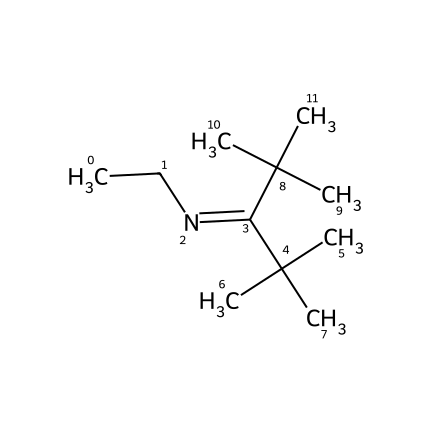 CCN=C(C(C)(C)C)C(C)(C)C